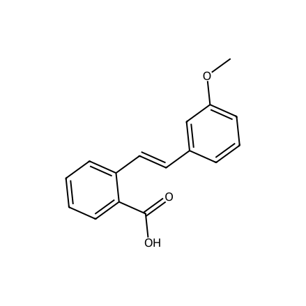 COc1cccc(C=Cc2ccccc2C(=O)O)c1